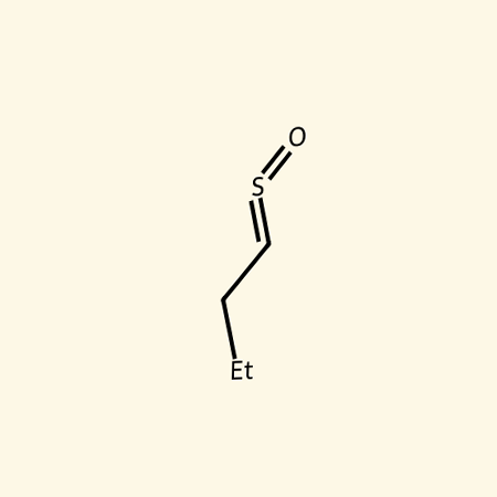 CCCC=S=O